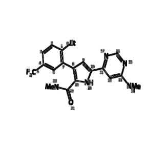 CCc1ccc(C(F)(F)F)cc1-c1cc(-c2cc(NC)ncn2)[nH]c1C(=O)NC